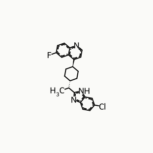 CC(c1nc2ccc(Cl)cc2[nH]1)[C@H]1CC[C@H](c2ccnc3ccc(F)cc32)CC1